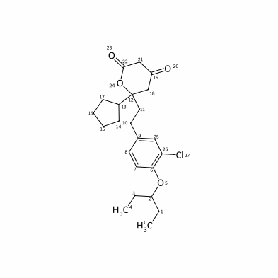 CCC(CC)Oc1ccc(CCC2(C3CCCC3)CC(=O)CC(=O)O2)cc1Cl